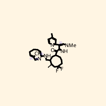 CN/C=C(\C(=N)C(=O)C1CCCC(F)(F)C[C@@H](C)C(CNC2=C/CCC/C=C(C(F)(F)F)/C=N\2)C1)c1cc(C)ccn1